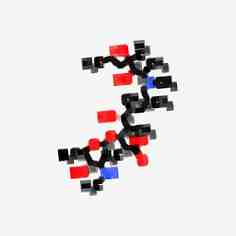 CCCC(C)(O)[C@H](O)[C@@H](C)N(C)C[C@H](C)C[C@H](C)[C@@H](O)[C@@H](C)C(O[C@H]1CC(NC)[C@H](O)[C@@H](C)O1)[C@@H](C)C(=O)O